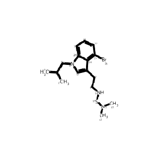 CC(C)Cn1cc(CCNSN(C)C)c2c(Br)cccc21